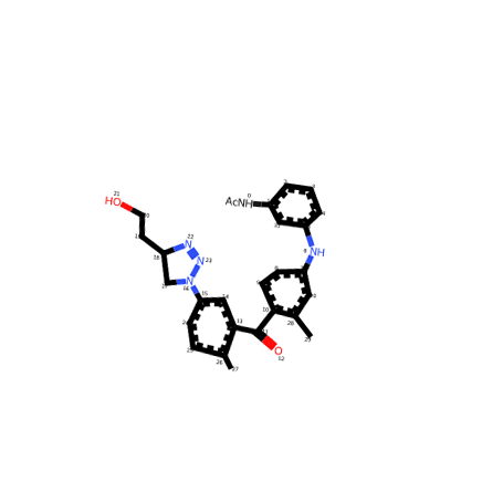 CC(=O)Nc1cccc(Nc2ccc(C(=O)c3cc(N4CC(CCO)N=N4)ccc3C)c(C)c2)c1